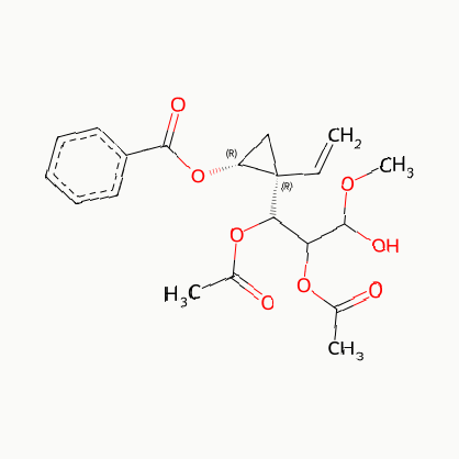 C=C[C@]1(C(OC(C)=O)C(OC(C)=O)C(O)OC)C[C@H]1OC(=O)c1ccccc1